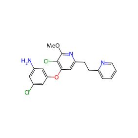 COc1nc(CCc2ccccn2)cc(Oc2cc(N)cc(Cl)c2)c1Cl